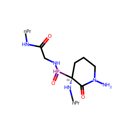 CCCNC(=O)CN[PH](=O)[C@@]1(NCCC)CCCN(N)C1=O